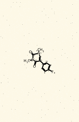 Cn1cc(-c2ccc(F)cc2)c(=O)n(C)c1=O